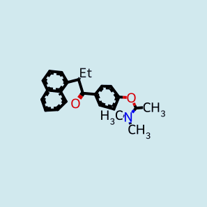 CCC(C(=O)c1ccc(OC(C)N(C)C)cc1)c1cccc2ccccc12